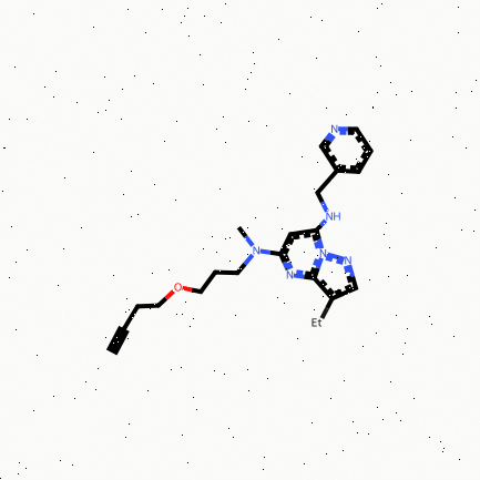 C#CCCOCCCN(C)c1cc(NCc2cccnc2)n2ncc(CC)c2n1